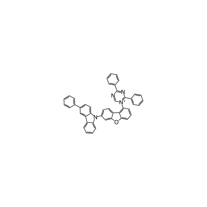 c1ccc(-c2ccc3c(c2)c2ccccc2n3-c2ccc3c(c2)oc2cccc(-[n+]4cnc(-c5ccccc5)nc4-c4ccccc4)c23)cc1